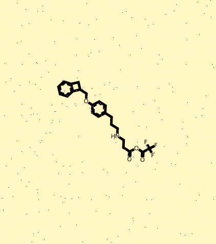 O=C(CCNCCCc1ccc(OCC2Cc3ccccc32)cc1)OC(=O)C(F)(F)F